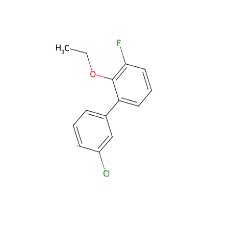 CCOc1c(F)cccc1-c1cc[c]c(Cl)c1